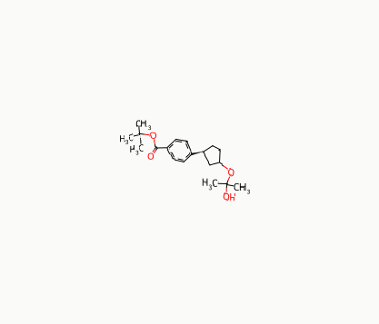 CC(C)(C)OC(=O)c1ccc([C@H]2CCC(OC(C)(C)O)C2)cc1